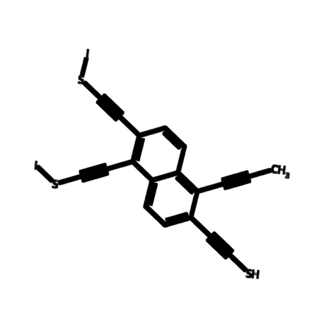 CC#Cc1c(C#CS)ccc2c(C#CSI)c(C#CSI)ccc12